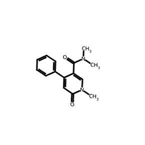 CN(C)C(=O)c1cn(C)c(=O)cc1-c1ccccc1